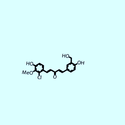 COc1c(O)ccc(/C=C/C(=O)/C=C/c2ccc(O)c(CO)c2)c1Cl